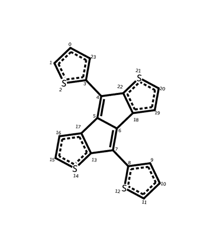 c1csc(C2=C3C(=C(c4cccs4)c4sccc43)c3ccsc32)c1